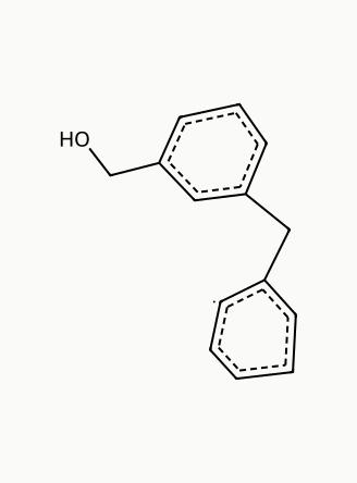 OCc1cccc(Cc2[c]cccc2)c1